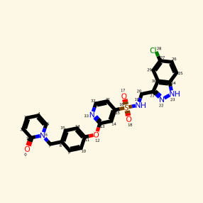 O=c1ccccn1Cc1ccc(Oc2cc(S(=O)(=O)NCc3n[nH]c4ccc(Cl)cc34)ccn2)cc1